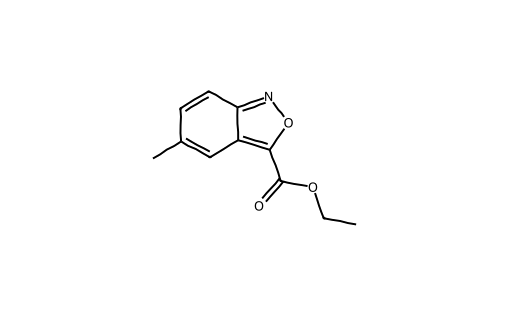 CCOC(=O)c1onc2ccc(C)cc12